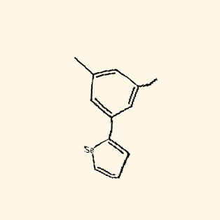 Cc1cc(C)cc(-c2ccc[se]2)c1